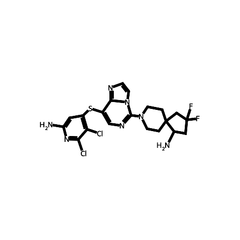 Nc1cc(Sc2cnc(N3CCC4(CC3)CC(F)(F)CC4N)n3ccnc23)c(Cl)c(Cl)n1